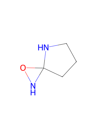 C1CNC2(C1)NO2